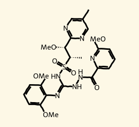 COc1cccc(C(=O)NN/C(=N/c2c(OC)cccc2OC)NS(=O)(=O)[C@@H](C)[C@H](OC)c2ncc(C)cn2)n1